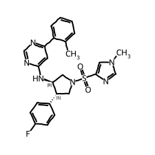 Cc1ccccc1-c1cc(N[C@H]2CN(S(=O)(=O)c3cn(C)cn3)C[C@@H]2c2ccc(F)cc2)ncn1